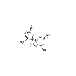 CC(=O)[N+](C)(CC(=O)[O-])N(CCO)CCO